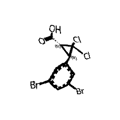 O=C(O)[C@H]1[C@H](c2cc(Br)cc(Br)c2)C1(Cl)Cl